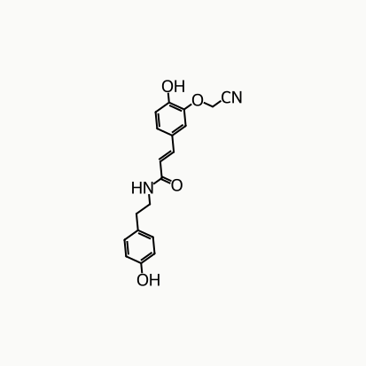 N#CCOc1cc(/C=C/C(=O)NCCc2ccc(O)cc2)ccc1O